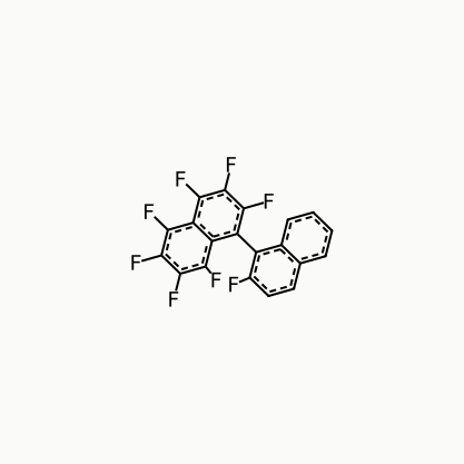 Fc1ccc2ccccc2c1-c1c(F)c(F)c(F)c2c(F)c(F)c(F)c(F)c12